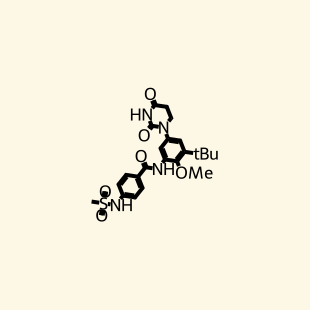 COc1c(NC(=O)c2ccc(NS(C)(=O)=O)cc2)cc(N2CCC(=O)NC2=O)cc1C(C)(C)C